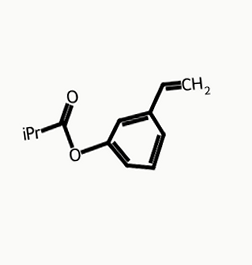 C=Cc1cccc(OC(=O)C(C)C)c1